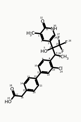 Cc1cc(C(O)(C(C)c2ccc(-c3ccc(CC(=O)O)cc3)cc2Cl)C(F)(F)F)c[nH]c1=O